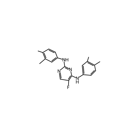 Cc1ccc(Nc2ncc(F)c(Nc3ccc(C)c(C)c3)n2)cc1C